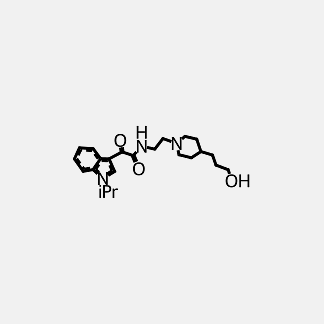 CC(C)n1cc(C(=O)C(=O)NCCN2CCC(CCCO)CC2)c2ccccc21